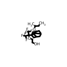 CCC(C)OC12CC3CC(C1)CC(C(OCCO)(C(F)(F)F)C(F)(F)F)(C3)C2